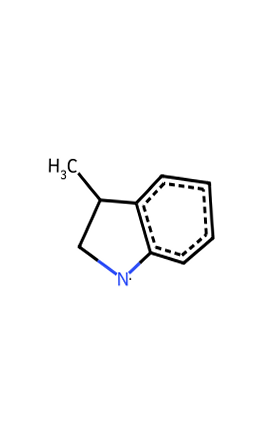 CC1C[N]c2ccccc21